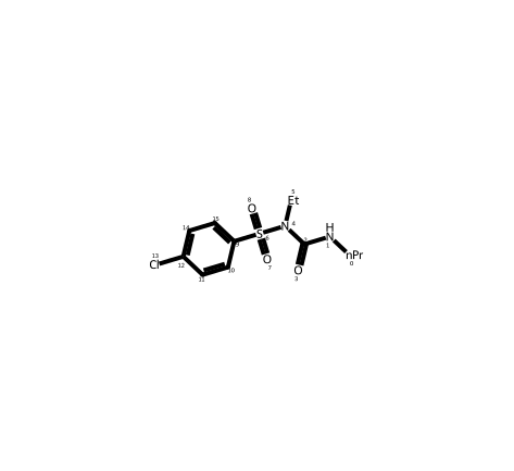 CCCNC(=O)N(CC)S(=O)(=O)c1ccc(Cl)cc1